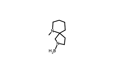 BN1CCC2(CCCCN2C)C1